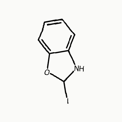 IC1Nc2ccccc2O1